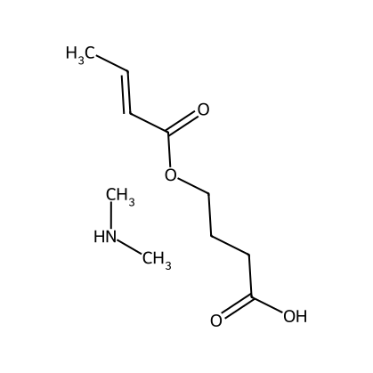 CC=CC(=O)OCCCC(=O)O.CNC